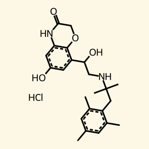 Cc1cc(C)c(CC(C)(C)NCC(O)c2cc(O)cc3c2OCC(=O)N3)c(C)c1.Cl